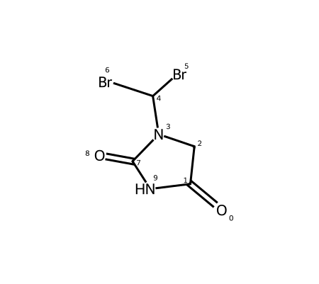 O=C1CN(C(Br)Br)C(=O)N1